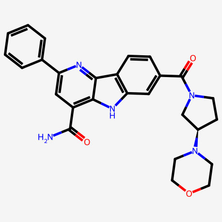 NC(=O)c1cc(-c2ccccc2)nc2c1[nH]c1cc(C(=O)N3CC[C@@H](N4CCOCC4)C3)ccc12